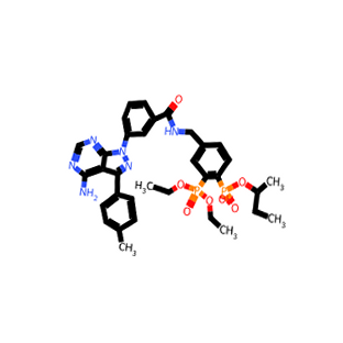 CCOP(=O)(OCC)c1cc(CNC(=O)c2cccc(-n3nc(-c4ccc(C)cc4)c4c(N)ncnc43)c2)ccc1P(=O)(O)OC(C)CC